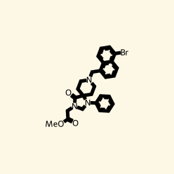 COC(=O)CN1CN(c2ccccc2)C2(CCN(Cc3cccc4c(Br)cccc34)CC2)C1=O